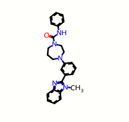 Cn1c(-c2cccc(N3CCCN(C(=O)Nc4ccccc4)CC3)c2)nc2ccccc21